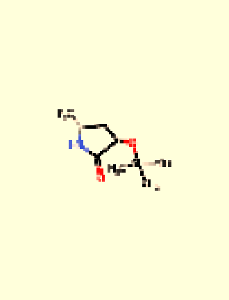 CC(C)(C)[Si](C)(C)O[C@@H]1C[C@@H](C(F)(F)F)NC1=O